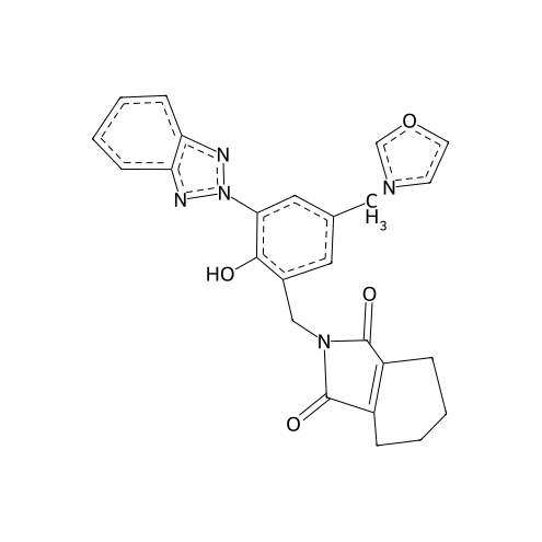 Cc1cc(CN2C(=O)C3=C(CCCC3)C2=O)c(O)c(-n2nc3ccccc3n2)c1.c1cocn1